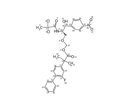 CC(Cl)(Cl)C(=O)N[C@H](COCOC(=O)C(C)(C)c1ccc(-c2ccccc2)c(F)c1)[C@H](O)c1ccc([N+](=O)[O-])cc1